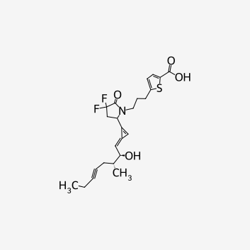 CCC#CC[C@@H](C)[C@H](O)/C=C1C=C\1C1CC(F)(F)C(=O)N1CCCc1ccc(C(=O)O)s1